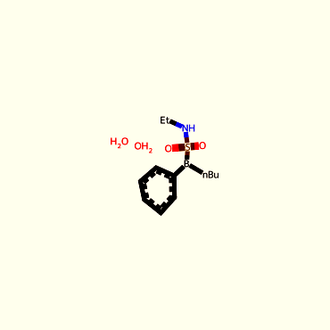 CCCCB(c1ccccc1)S(=O)(=O)NCC.O.O